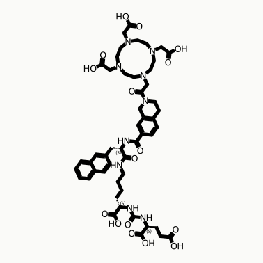 O=C(O)CC[C@H](NC(=O)N[C@@H](CCCCNC(=O)[C@H](Cc1ccc2ccccc2c1)NC(=O)c1ccc2c(c1)CN(C(=O)CN1CCN(CC(=O)O)CCN(CC(=O)O)CCN(CC(=O)O)CC1)CC2)C(=O)O)C(=O)O